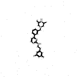 CC1CN(Cc2cccc(-c3ccnc(NCCc4cc(F)cc(F)c4)n3)c2)CC(C)N1